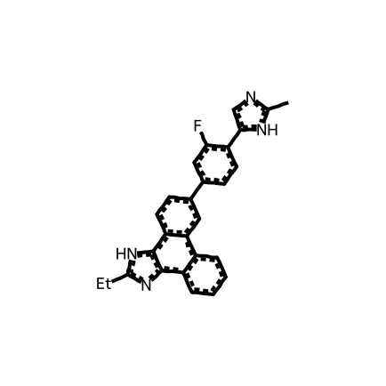 CCc1nc2c3ccccc3c3cc(-c4ccc(-c5cnc(C)[nH]5)c(F)c4)ccc3c2[nH]1